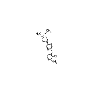 CCCC1(CC)CCN(c2cnc(Sc3ccnc(N)c3Cl)cn2)CC1